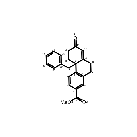 COC(=O)c1ccc2c(c1)CCC1=CC(=O)CCC12Cc1ccccc1